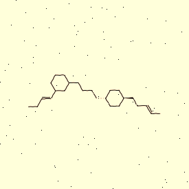 CC=CCC[C@H]1CC[C@H](CCCCC2CCCC(C=CCC)C2)CC1